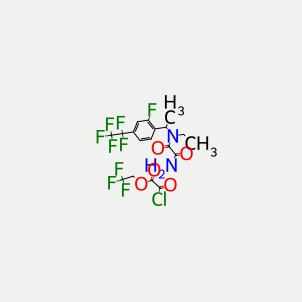 CCN(C(=O)C(N)=O)C(C)c1ccc(C(F)(F)C(F)(F)F)cc1F.O=C(Cl)C(=O)OCC(F)(F)F